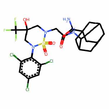 NC(=O)C12CC3CC(C1)C(NC(=O)CN1CC(O)(C(F)(F)F)CN(c4c(Cl)cc(Cl)cc4Cl)S1(=O)=O)C(C3)C2